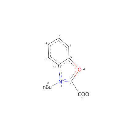 CCCC[n+]1c(C(=O)[O-])oc2ccccc21